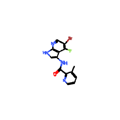 Cc1cccnc1C(=O)Nc1c[nH]c2ncc(Br)c(F)c12